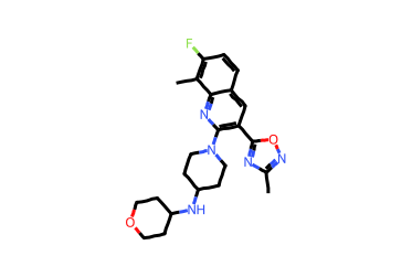 Cc1noc(-c2cc3ccc(F)c(C)c3nc2N2CCC(NC3CCOCC3)CC2)n1